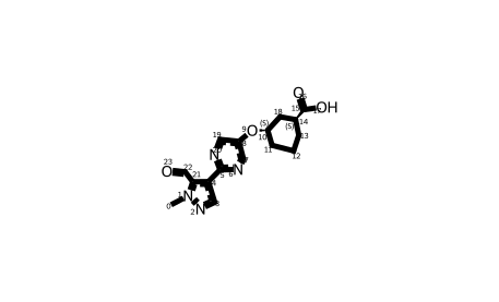 Cn1ncc(-c2ncc(O[C@H]3CCC[C@H](C(=O)O)C3)cn2)c1C=O